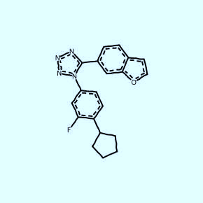 Fc1cc(-n2nnnc2-c2ccc3ccoc3c2)ccc1C1CCCC1